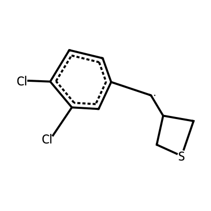 Clc1ccc([CH]C2CSC2)cc1Cl